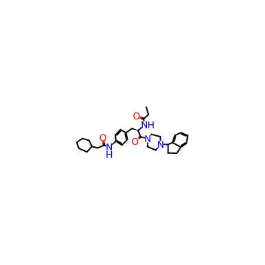 CCC(=O)N[C@H](Cc1ccc(NC(=O)CC2CCCCC2)cc1)C(=O)N1CCN(C2CCc3ccccc32)CC1